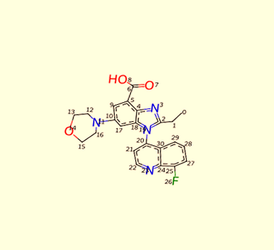 CCc1nc2c(C(=O)O)cc(N3CCOCC3)cc2n1-c1ccnc2c(F)cccc12